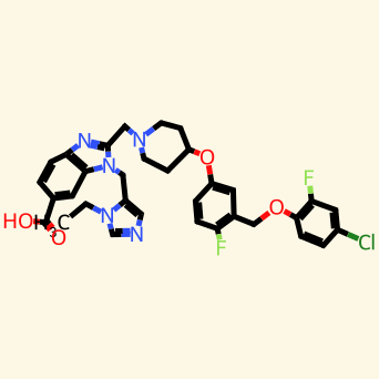 CCn1cncc1Cn1c(CN2CCC(Oc3ccc(F)c(COc4ccc(Cl)cc4F)c3)CC2)nc2ccc(C(=O)O)cc21